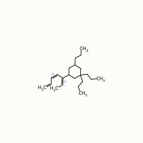 C=C/C=C\C(=C/C)C1CC(CCC)CC(CCC)(CCC)C1